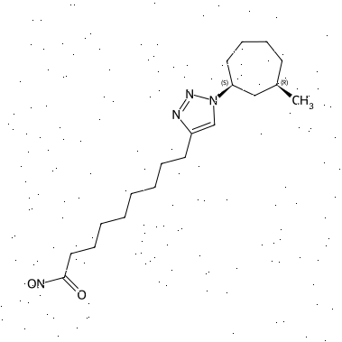 C[C@@H]1CCCC[C@H](n2cc(CCCCCCCCC(=O)N=O)nn2)C1